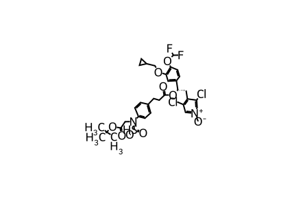 CC(C)(C)OC(=O)CN(c1ccc(CCC(=O)O[C@@H](Cc2c(Cl)c[n+]([O-])cc2Cl)c2ccc(OC(F)F)c(OCC3CC3)c2)cc1)[SH](=O)=O